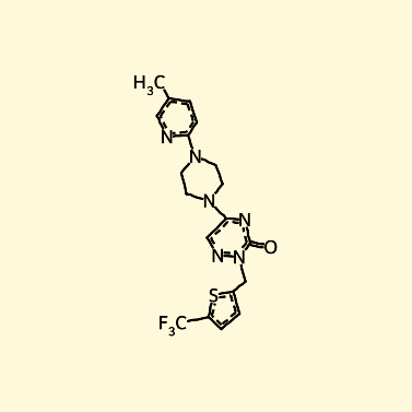 Cc1ccc(N2CCN(c3cnn(Cc4ccc(C(F)(F)F)s4)c(=O)n3)CC2)nc1